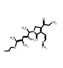 C=N/C=C\C1=C(C(=O)CC)CN(C(C)/C(N)=C/C(C)=C(\N)OCCF)C1=O